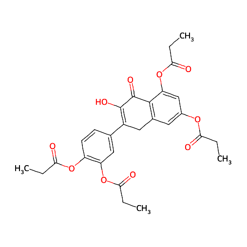 CCC(=O)Oc1cc2c(c(OC(=O)CC)c1)C(=O)C(O)=C(c1ccc(OC(=O)CC)c(OC(=O)CC)c1)C2